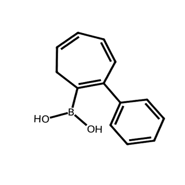 OB(O)C1=C(c2ccccc2)C=CC=CC1